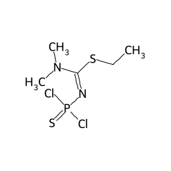 CCSC(=NP(=S)(Cl)Cl)N(C)C